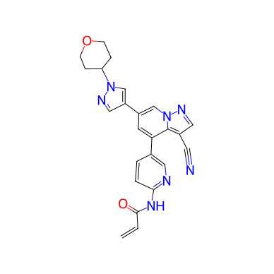 C=CC(=O)Nc1ccc(-c2cc(-c3cnn(C4CCOCC4)c3)cn3ncc(C#N)c23)cn1